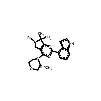 CC(C)N1Cc2c(N3CCOC[C@H]3C)nc(-c3cccc4[nH]ccc34)nc2C1(C)C